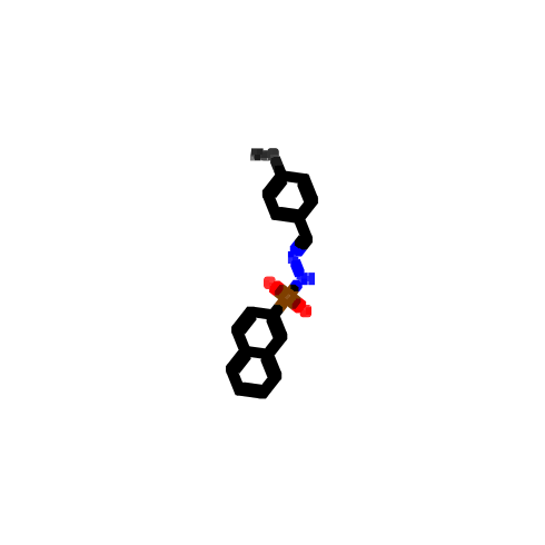 COc1ccc(C=NNS(=O)(=O)c2ccc3ccccc3c2)cc1